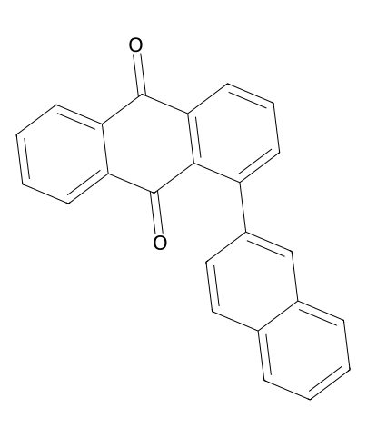 O=C1c2ccccc2C(=O)c2c1cccc2-c1ccc2ccccc2c1